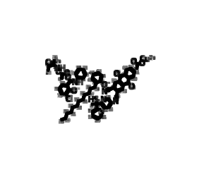 CC(=O)[O-].CC(=O)[O-].CC(S)(c1ccccn1)c1ccccn1.CCC(C)N.CCCCCCCCCCCCc1ccccc1[O-].N#Cc1cc2c(cc1C#N)C(=O)c1ccccc1C2=O.O=C(Nc1ccccc1)c1cccc(Cl)c1[O-].[Cu+2].[Cu+2]